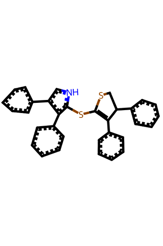 c1ccc(C2=C(Sc3[nH]cc(-c4ccccc4)c3-c3ccccc3)SCC2c2ccccc2)cc1